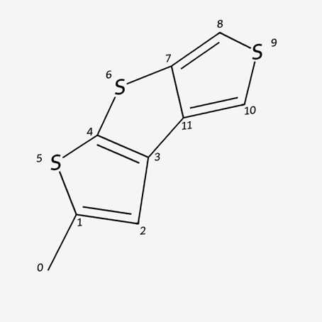 Cc1cc2c(s1)sc1cscc12